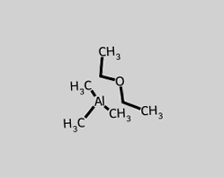 CCOCC.[CH3][Al]([CH3])[CH3]